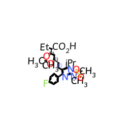 CCC(C(=O)O)[C@H]1C[C@@H](/C=C/c2c(-c3ccc(F)cc3)nc(N(C)S(C)(=O)=O)nc2C(C)C)OC(C)(C)O1